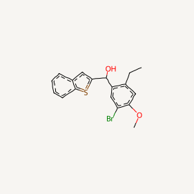 CCc1cc(OC)c(Br)cc1C(O)c1cc2ccccc2s1